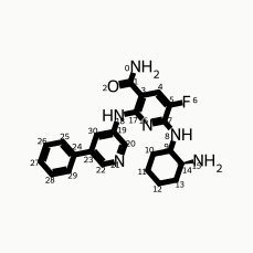 NC(=O)c1cc(F)c(NC2CCCC[C@@H]2N)nc1Nc1cncc(-c2ccccc2)c1